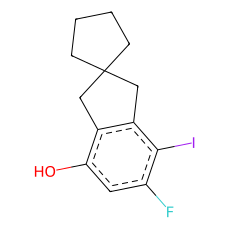 Oc1cc(F)c(I)c2c1CC1(CCCC1)C2